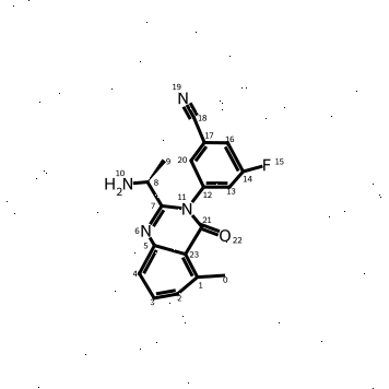 Cc1cccc2nc([C@H](C)N)n(-c3cc(F)cc(C#N)c3)c(=O)c12